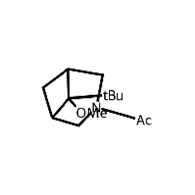 COC1(C(C)(C)C)C2CC1CN(C(C)=O)C2